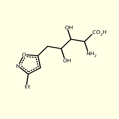 CCc1cc(CC(O)C(O)C(N)C(=O)O)on1